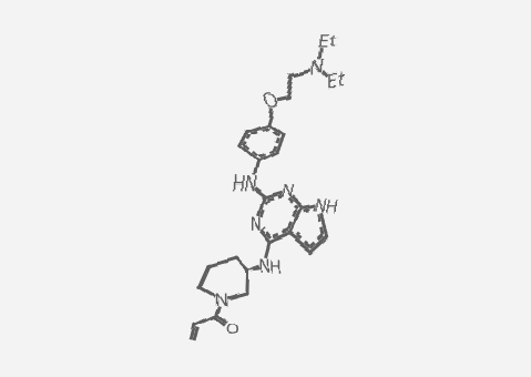 C=CC(=O)N1CCC[C@@H](Nc2nc(Nc3ccc(OCCN(CC)CC)cc3)nc3[nH]ccc23)C1